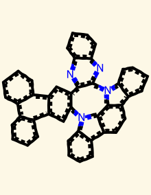 c1ccc2nc3c(nc2c1)c1cc2c4ccccc4c4ccccc4c2cc1n1c2ccccc2c2ccc4c5ccccc5n3c4c21